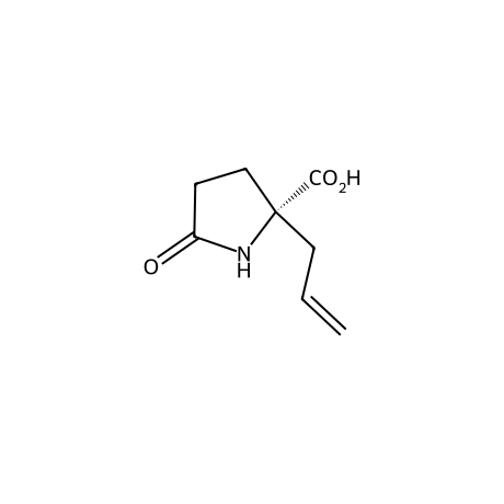 C=CC[C@]1(C(=O)O)CCC(=O)N1